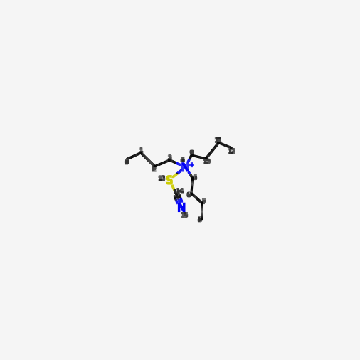 CCCC[N+](CCCC)(CCCC)SC#N